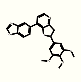 COc1cc(C2Cc3nccc(-c4ccc5[nH]cnc5c4)c3O2)cc(OC)c1OC